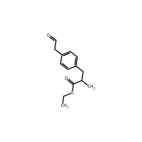 CCOC(=O)C(C)Cc1ccc(CC=O)cc1